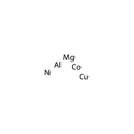 [Al].[Co].[Cu].[Mg].[Ni]